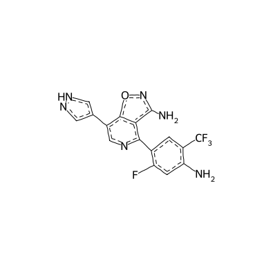 Nc1cc(F)c(-c2ncc(-c3cn[nH]c3)c3onc(N)c23)cc1C(F)(F)F